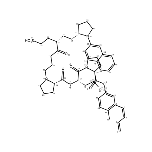 C=C/C=C\c1cc(OC(=O)[C@@H]2CCCN2C(=O)[C@H](CCS(=O)(=O)O)NC(=O)[C@@H]2CCCN2CCCC(=O)[C@@H](CC[C@@H]2CCCN2c2ccc3ccccc3c2)CCS(=O)(=O)O)ccc1C